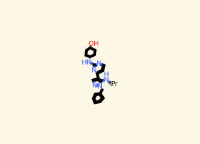 CC(C)Nc1c(-c2ccnc(N[C@H]3CC[C@H](O)CC3)n2)cnn1Cc1ccccc1